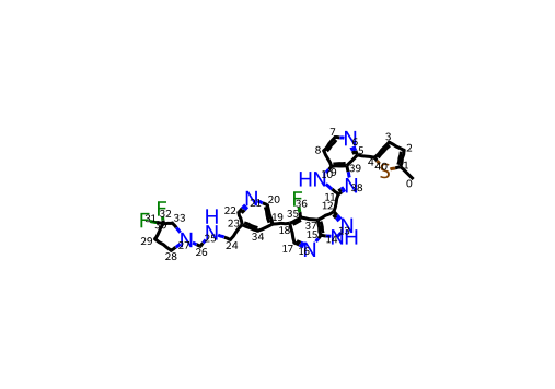 Cc1ccc(-c2nccc3[nH]c(-c4n[nH]c5ncc(-c6cncc(CNCN7CCC(F)(F)C7)c6)c(F)c45)nc23)s1